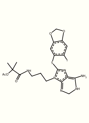 CC(=O)OC(C)(C)C(=O)NCCCn1c(Sc2cc3c(cc2I)OCO3)nc2c1=NCNC=2N